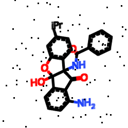 CC(C)c1ccc2c(c1)OC1(O)c3cccc(N)c3C(=O)C21NC(=O)c1ccccc1